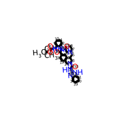 CC(C)(C)OC(=O)Nc1ccccc1NC(=O)c1ccc(CN(CCCN2CCOCC2)C(=O)Nc2nc3ccccc3[nH]2)cc1